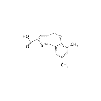 Cc1cc(C)c2c(c1)-c1sc(C(=O)O)cc1CO2